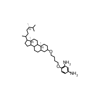 CC(CC[C@H](C)C(C)C)C1CCC2C3CCC4CC(OCCCCOc5ccc(N)cc5N)CC[C@]4(C)C3CC[C@]12C